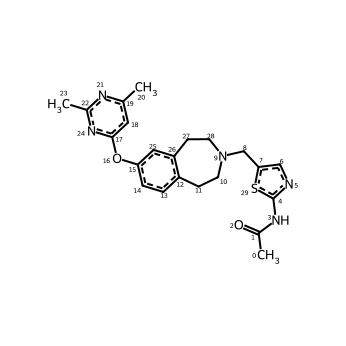 CC(=O)Nc1ncc(CN2CCc3ccc(Oc4cc(C)nc(C)n4)cc3CC2)s1